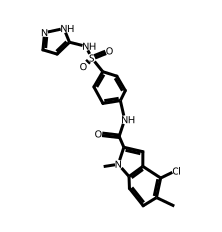 Cc1ccc2c(cc(C(=O)Nc3ccc(S(=O)(=O)Nc4ccn[nH]4)cc3)n2C)c1Cl